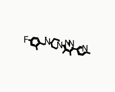 Cc1ccc(-c2nnc(N3CCC(N(C)Cc4ccc(F)cc4C)CC3)c(C)c2C)cn1